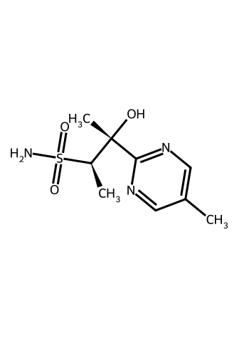 Cc1cnc([C@@](C)(O)[C@@H](C)S(N)(=O)=O)nc1